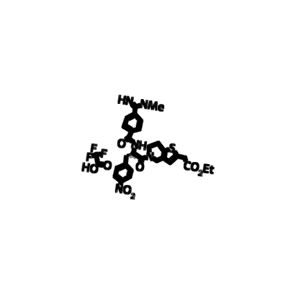 CCOC(=O)Cc1cc2c(s1)CCN(C(=O)[C@H](Cc1ccc([N+](=O)[O-])cc1)NC(=O)c1ccc(C(=N)NC)cc1)C2.O=C(O)C(F)(F)F